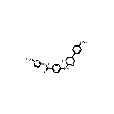 COc1ccc(C2CNC(Nc3ccc(C(=O)Nc4ccn(C)n4)cc3)NC2)cc1